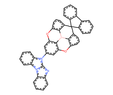 c1ccc2c(c1)-c1ccccc1C21c2cccc3c2B2c4c(cc(-n5c6ccccc6n6c7ccccc7nc56)cc4Oc4cccc1c42)O3